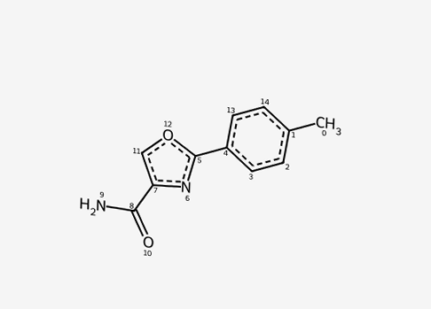 Cc1ccc(-c2nc(C(N)=O)co2)cc1